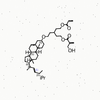 C=CC(=O)OCCC(CCOC(=O)C(=C)CO)CCO[C@H]1CC[C@@]2(C)C(=CC[C@H]3[C@@H]4CC[C@H]([C@H](C)/C=C/[C@H](C)C(C)C)[C@@]4(C)CC[C@@H]32)C1